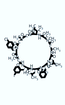 CC[C@H](C)[C@@H]1NC(=O)[C@H](C)N(C)C(=O)C[C@@H](C)NC(=O)[C@H](CC(C)C)N(C)C(=O)[C@H](Cc2ccccc2)N(C)C(=O)[C@H](CC(C)C)NC(=O)[C@H](Cc2cccc(I)c2)NC(=O)CN(C)C(=O)[C@H](Cc2ccc(Cl)cc2)N(C)C(=O)CN(C)C(=O)CN(C)C1=O